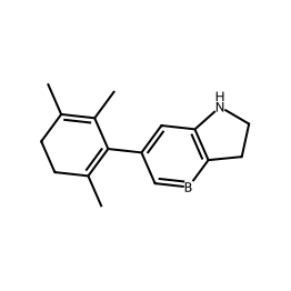 CC1=C(C)C(c2cbc3c(c2)NCC3)=C(C)CC1